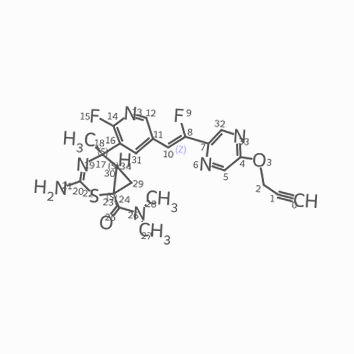 C#CCOc1cnc(/C(F)=C/c2cnc(F)c([C@@]3(C)N=C(N)S[C@@]4(C(=O)N(C)C)C[C@H]43)c2)cn1